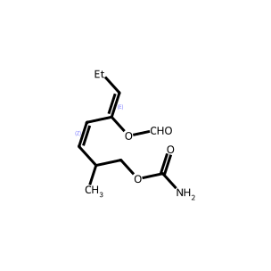 CC/C=C(\C=C/C(C)COC(N)=O)OC=O